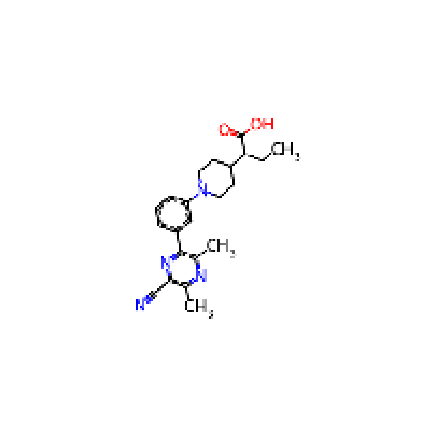 CCC(C(=O)O)C1CCN(c2cccc(-c3nc(C#N)c(C)nc3C)c2)CC1